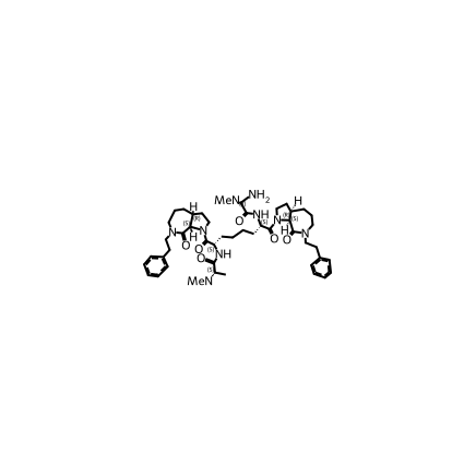 CN[C@@H](C)C(=O)N[C@@H](CCCC[C@H](NC(=O)[C@H](N)NC)C(=O)N1CC[C@H]2CCCN(CCc3ccccc3)C(=O)[C@H]21)C(=O)N1CC[C@H]2CCCN(CCc3ccccc3)C(=O)[C@H]21